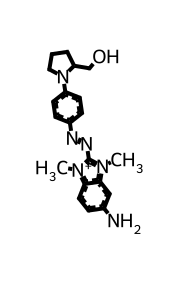 Cn1c(/N=N/c2ccc(N3CCCC3CO)cc2)[n+](C)c2ccc(N)cc21